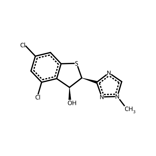 Cn1cnc([C@@H]2Sc3cc(Cl)cc(Cl)c3[C@@H]2O)n1